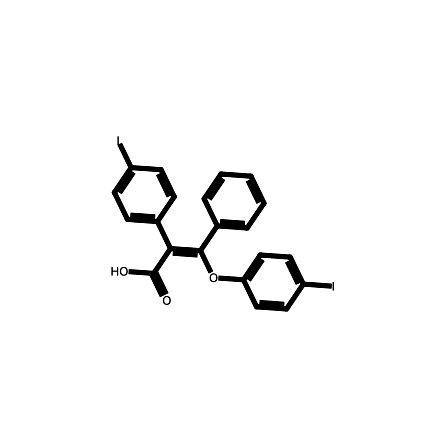 O=C(O)/C(=C(\Oc1ccc(I)cc1)c1ccccc1)c1ccc(I)cc1